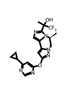 C[C@H]1Cn2nc(Oc3cc(C4CC4)ncn3)cc2-c2cnc(C(C)(O)C(F)(F)F)n21